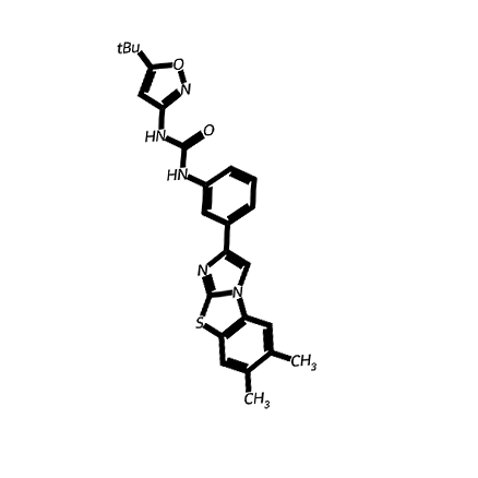 Cc1cc2sc3nc(-c4cccc(NC(=O)Nc5cc(C(C)(C)C)on5)c4)cn3c2cc1C